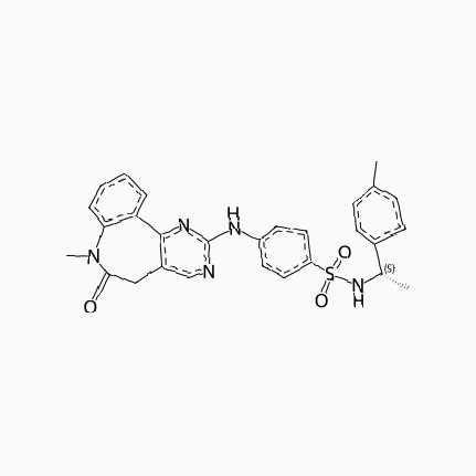 Cc1ccc([C@H](C)NS(=O)(=O)c2ccc(Nc3ncc4c(n3)-c3ccccc3N(C)C(=O)C4)cc2)cc1